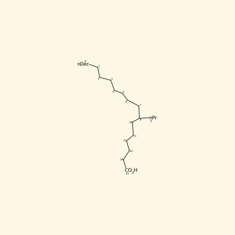 CCCCCCCCCCCCCCCCCC(CCC)CCCCCC(=O)O